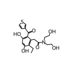 CCc1c(O)cc(O)c(C(=O)c2ccsc2)c1CC(=O)N(CCO)CCO